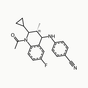 CC(=O)N1c2ccc(F)cc2C(Nc2ccc(C#N)cc2)[C@@H](C)C1C1CC1